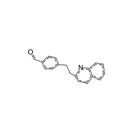 O=Cc1ccc(CCc2ccc3ccccc3n2)cc1